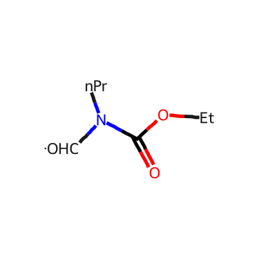 CCCN([C]=O)C(=O)OCC